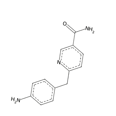 NC(=O)c1ccc(Cc2ccc(N)cc2)nc1